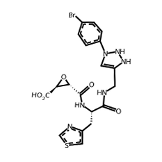 O=C(NCC1=CN(c2ccc(Br)cc2)NN1)[C@H](Cc1cscn1)NC(=O)[C@H]1O[C@@H]1C(=O)O